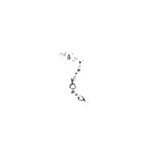 CCC(CO)OC(COC(=O)CCC(=O)NCCNC(=O)c1ccc(C(C)SSc2ccc([N+](=O)[O-])cn2)cc1)OC